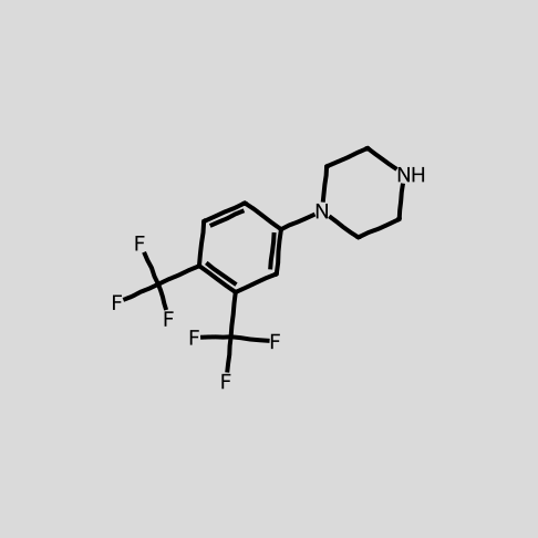 FC(F)(F)c1ccc(N2CCNCC2)cc1C(F)(F)F